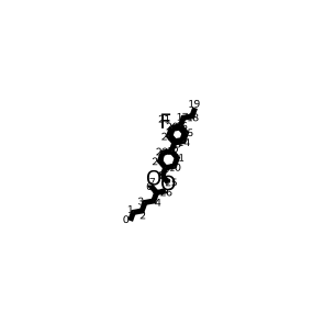 CCCCCC1COC(C2CCC(c3ccc(CCC)c(F)c3)CC2)OC1